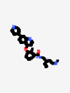 C=C/C(=C\C=N/C)CNC(=O)c1cccc(Oc2ccnc3cc(-c4ccncc4)ccc23)c1C